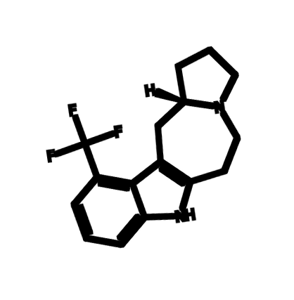 FC(F)(F)c1cccc2[nH]c3c(c12)C[C@@H]1CCCN1CC3